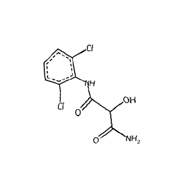 NC(=O)C(O)C(=O)Nc1c(Cl)cccc1Cl